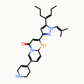 CC/C=C(\CCC)c1cc(C2=CC(=O)N3C=C(C4=CCNCC4)C=CC3P2)nn1C=C(C)C